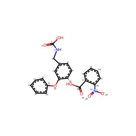 O=C(O)NCc1cccc(Oc2ccccc2)c1.O=C(O)c1ccccc1[N+](=O)[O-]